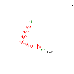 O.O.O.O.O.O.O.[Cl-].[Cl-].[Fe+2]